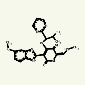 CN/C=C1/NC(=O)C(c2nc3cc(OC)ccc3[nH]2)=C(NC(c2ncccn2)C(C)C)C1=N